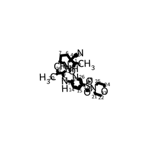 CC(=O)C1(C#N)CCCN1NC(Nc1ccc(S(=O)(=O)N2CCOCC2)cn1)C(C)C